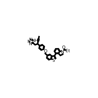 CC#CC(Cc1nnn[nH]1)c1ccc(OCc2ccc3scc(-c4cccc5c4CCN5C(=O)CC)c3c2)cc1